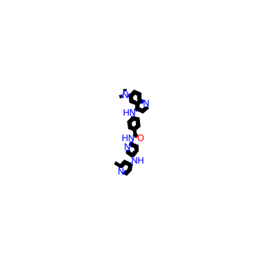 Cc1cc(Nc2ccc(NC(=O)c3ccc(Nc4ccnc5ccc(N(C)C)cc45)cc3)nc2)ccn1